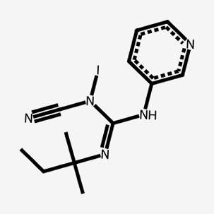 CCC(C)(C)N=C(Nc1cccnc1)N(I)C#N